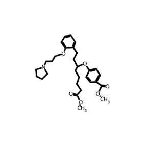 COC(=O)CCCCC(CCc1ccccc1OCCCN1CCCC1)Oc1ccc(C(=O)OC)cc1